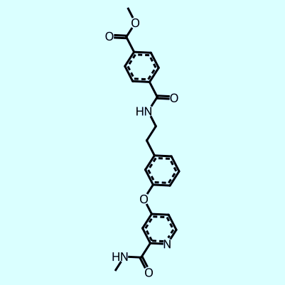 CNC(=O)c1cc(Oc2cccc(CCNC(=O)c3ccc(C(=O)OC)cc3)c2)ccn1